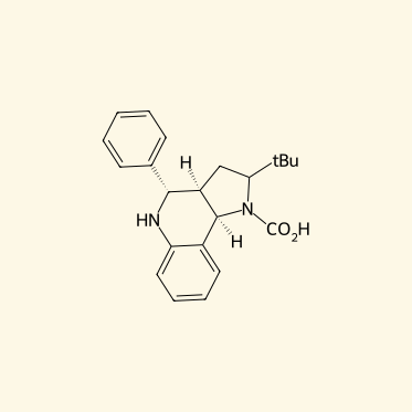 CC(C)(C)C1C[C@@H]2[C@@H](c3ccccc3)Nc3ccccc3[C@@H]2N1C(=O)O